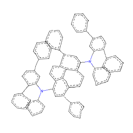 c1ccc(-c2ccc(-c3ccccc3)c(N(c3ccccc3)c3cc(-c4ccccc4)c4ccc5c(N(c6ccccc6)c6cc(-c7ccccc7)ccc6-c6ccccc6)cc(-c6ccccc6)c6ccc3c4c65)c2)cc1